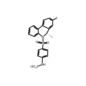 C[C@H]1c2cc(F)ccc2-c2ccccc2N1S(=O)(=O)c1ccc(NS(=O)(=O)O)cc1